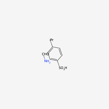 CC(C)c1ccc(S(=O)(=O)O)cc1.NC=O